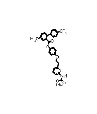 Cc1ccc(-c2ccc(C(F)(F)F)cc2)c(C(=O)Nc2ccc(OCCc3cccc(NC(=O)OC(C)(C)C)n3)cc2)c1